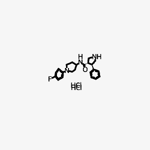 Cl.Cl.O=C(NC1CCN(c2ccc(F)cc2)CC1)[C@@H]1CNC[C@H]1c1ccccc1